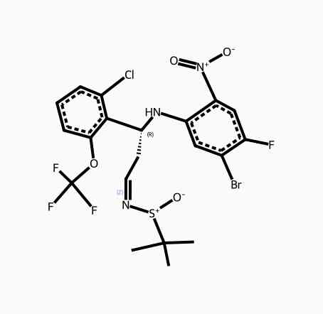 CC(C)(C)[S+]([O-])/N=C\C[C@@H](Nc1cc(Br)c(F)cc1[N+](=O)[O-])c1c(Cl)cccc1OC(F)(F)F